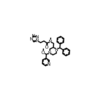 COC(c1cccnc1)N1CCN(C(c2ccccc2)c2ccccc2)C(CN(C)C(=O)CCn2cnnn2)C1